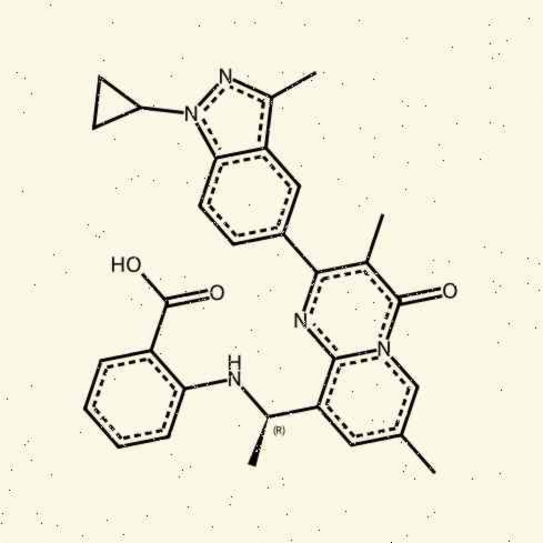 Cc1cc([C@@H](C)Nc2ccccc2C(=O)O)c2nc(-c3ccc4c(c3)c(C)nn4C3CC3)c(C)c(=O)n2c1